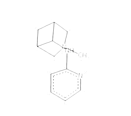 CN1CC2CC(C1)C2Nc1ccccn1